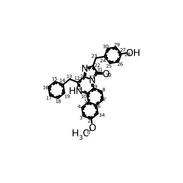 COc1ccc2c(ccc3c2[nH]c(Cc2ccccc2)c2nc(Cc4ccc(O)cc4)c(=O)n3-2)c1